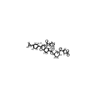 C[C@H](NC(=O)c1cncs1)[C@H](Oc1ccc(C(=O)O[C@H]2CCCN(C(=O)[C@H]3COC(=O)C3)C2)cc1)c1ccc(C2CC2)cc1